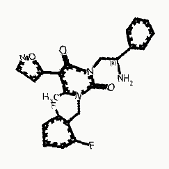 Cc1c(-c2ccno2)c(=O)n(C[C@H](N)c2ccccc2)c(=O)n1Cc1c(F)cccc1F